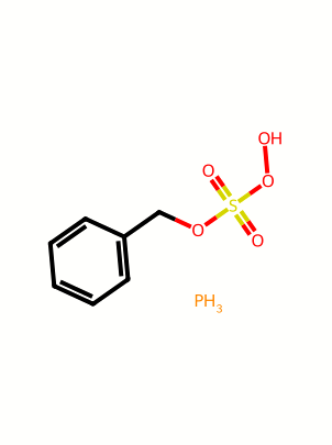 O=S(=O)(OO)OCc1ccccc1.P